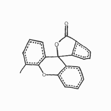 Cc1cccc2c1Oc1ccccc1C21OC(=O)c2ccccc21